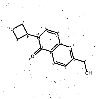 O=c1c2ccc(CO)nc2ccn1C1COC1